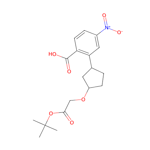 CC(C)(C)OC(=O)COC1CCC(c2cc([N+](=O)[O-])ccc2C(=O)O)C1